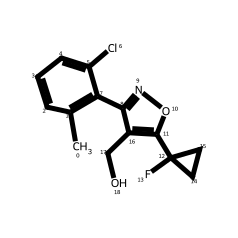 Cc1cccc(Cl)c1-c1noc(C2(F)CC2)c1CO